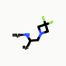 CC(CN1CC(F)(F)C1)NC(=O)O